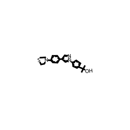 CC(C)(O)c1ccc(-n2cc(-c3ccc(N4CCSCC4)cc3)cn2)cc1